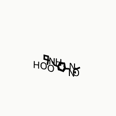 Cc1nc(-c2ccc(C(=O)NC3(CO)CCC3)cc2)no1